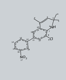 CC1=CC(C)(C)Nc2c(Cl)cc(-c3cccc([N+](=O)[O-])c3)cc21